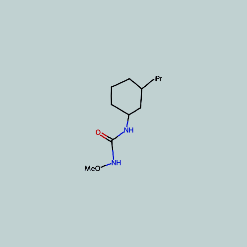 CONC(=O)NC1CCCC(C(C)C)C1